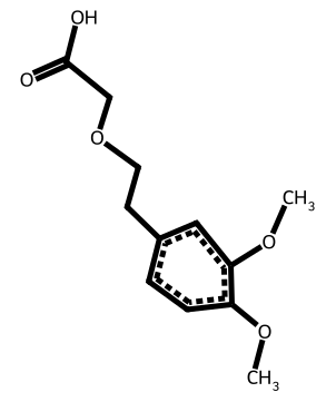 COc1ccc(CCOCC(=O)O)cc1OC